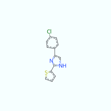 Clc1ccc(-c2c[nH]c(-c3cccs3)n2)cc1